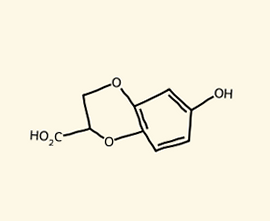 O=C(O)C1COc2cc(O)ccc2O1